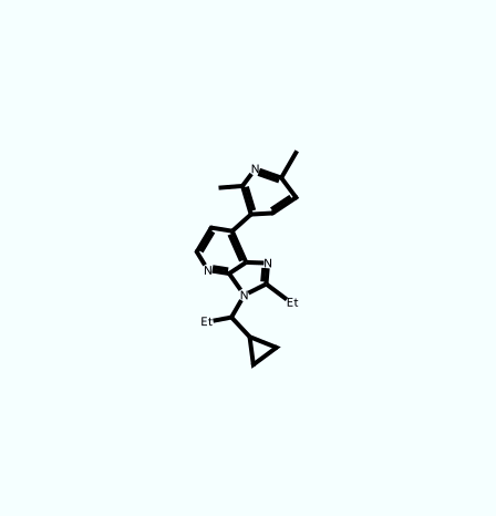 CCc1nc2c(-c3ccc(C)nc3C)ccnc2n1C(CC)C1CC1